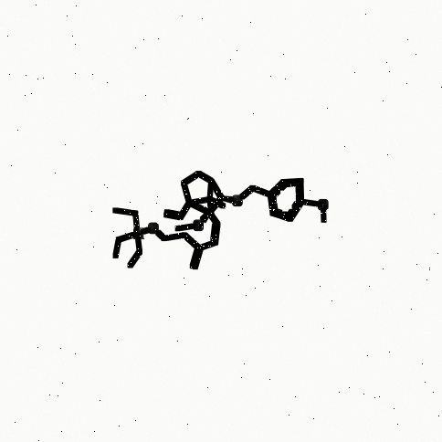 C=CC12CCC([C@@H](OCc3ccc(OC)cc3)[C@@]1(/C=C\C(=C)CCO[Si](CC)(CC)CC)OC)C2(C)C